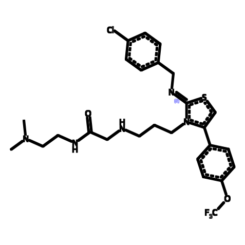 CN(C)CCNC(=O)CNCCCn1c(-c2ccc(OC(F)(F)F)cc2)cs/c1=N\Cc1ccc(Cl)cc1